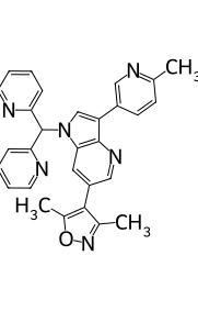 Cc1ccc(-c2cn(C(c3ccccn3)c3ccccn3)c3cc(-c4c(C)noc4C)cnc23)cn1